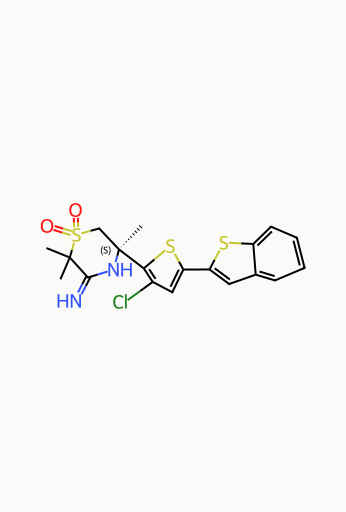 CC1(C)C(=N)N[C@](C)(c2sc(-c3cc4ccccc4s3)cc2Cl)CS1(=O)=O